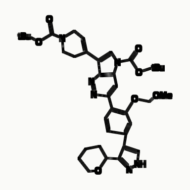 COCOc1cc(-c2c[nH]nc2C2CCCCO2)ccc1-c1cc2c(nn1)c(C1=CCN(C(=O)OC(C)(C)C)CC1)cn2C(=O)OC(C)(C)C